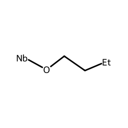 CCCC[O][Nb]